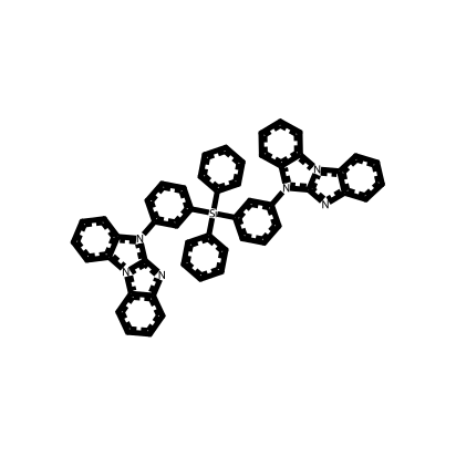 c1ccc([Si](c2ccccc2)(c2cccc(-n3c4ccccc4n4c5ccccc5nc34)c2)c2cccc(-n3c4ccccc4n4c5ccccc5nc34)c2)cc1